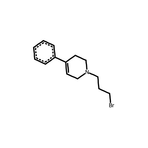 BrCCCN1CC=C(c2ccccc2)CC1